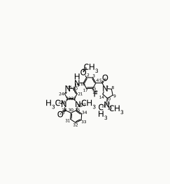 COc1cc(C(=O)N2CCC(N(C)C)C2)c(F)cc1Nc1cc2c(cn1)N(C)C(=O)c1ccccc1N2C